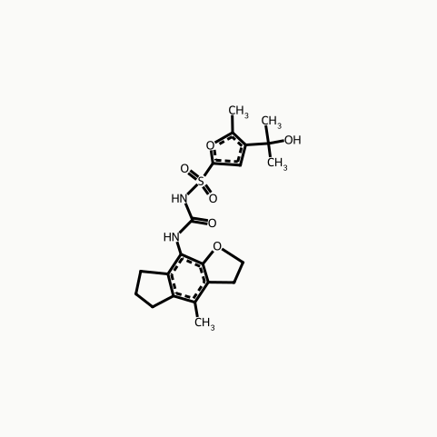 Cc1oc(S(=O)(=O)NC(=O)Nc2c3c(c(C)c4c2OCC4)CCC3)cc1C(C)(C)O